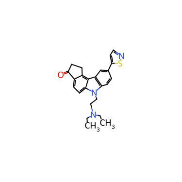 CCN(CC)CCn1c2ccc(-c3ccns3)cc2c2c3c(ccc21)C(=O)CC3